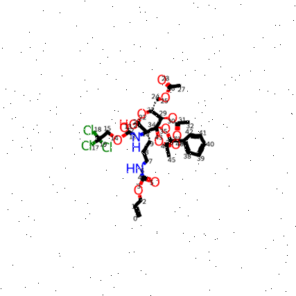 C=CCOC(=O)NCCC[C@]1(NC(=O)OCC(Cl)(Cl)Cl)[C@H](O)O[C@H](COC(C)=O)[C@@H](OC(C)=O)[C@]1(OCc1ccccc1)OC(C)=O